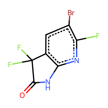 O=C1Nc2nc(F)c(Br)cc2C1(F)F